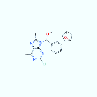 C1CC2CC1O2.COC(c1ccccc1)n1c(C)nc2c(C)nc(Cl)nc21